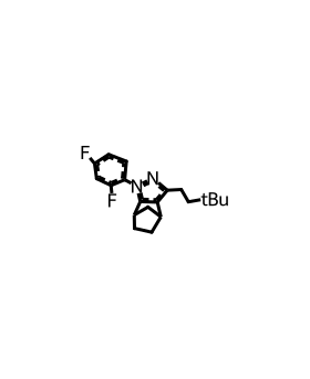 CC(C)(C)CCc1nn(-c2ccc(F)cc2F)c2c1C1CCC2C1